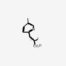 CCOC(=O)/C(F)=C/c1ccc(C)cn1